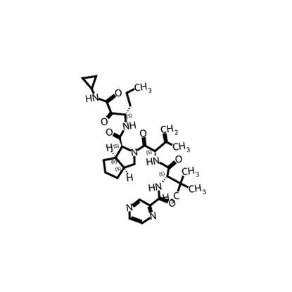 C=C(C)[C@H](NC(=O)[C@@H](NC(=O)c1cnccn1)C(C)(C)C)C(=O)N1C[C@H]2CCC[C@H]2[C@H]1C(=O)N[C@@H](CCC)C(=O)C(=O)NC1CC1